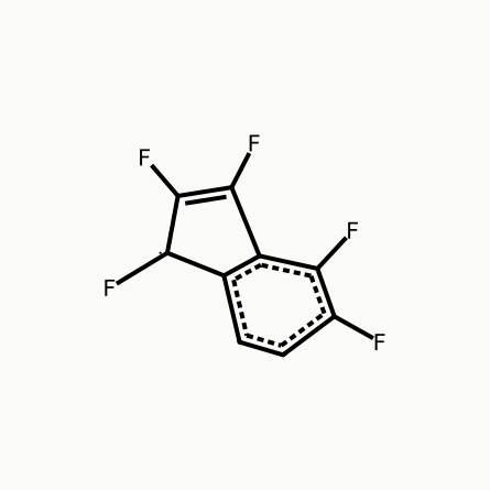 F[C]1C(F)=C(F)c2c1ccc(F)c2F